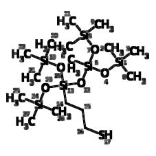 C[Si](C)(C)O[Si](C)(O[Si](C)(C)C)O[Si](CCCS)(O[Si](C)(C)C)O[Si](C)(C)C